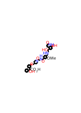 COc1cc(C(=O)NCC(=O)N2CCC(COc3cccc([C@](O)(C(=O)O)c4ccccc4)c3)CC2)ccc1CNC[C@H](O)c1ccc(O)c2[nH]c(=O)ccc12